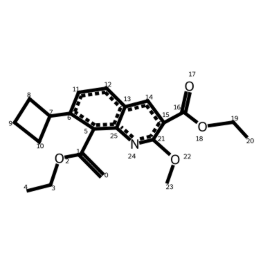 C=C(OCC)c1c(C2CCC2)ccc2cc(C(=O)OCC)c(OC)nc12